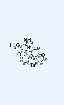 CN1C(=O)C(c2cccc(Br)c2)(c2ccc3c(c2)CCCO3)N=C1N